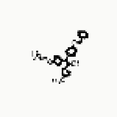 CCC(=C(c1ccc(OCCN)cc1)c1ccc(OCc2ccccc2)cc1)c1ccc(C)cc1